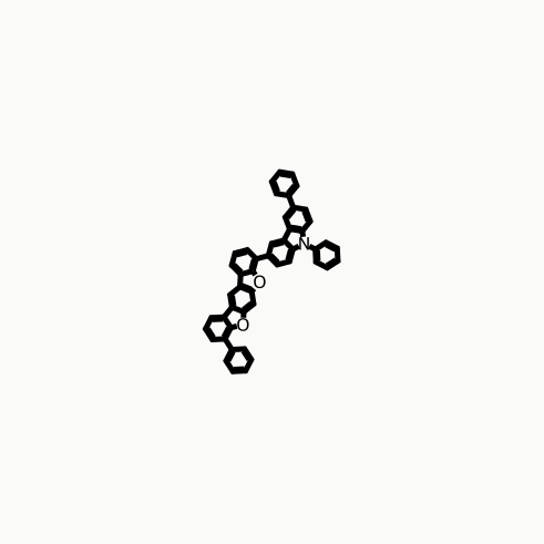 c1ccc(-c2ccc3c(c2)c2cc(-c4cccc5c4oc4cc6oc7c(-c8ccccc8)cccc7c6cc45)ccc2n3-c2ccccc2)cc1